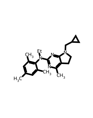 CCN(c1nc(C)c2c(n1)N(CC1CC1)CC2)c1c(C)cc(C)cc1C